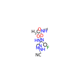 CC1(C(=O)NCC2CC2)COC(c2nc(-c3ccc(F)cc3)c(-c3ccnc(NCCC#N)n3)[nH]2)OC1